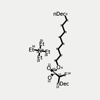 CCCCCCCCCCCCCCCCCCOS(=O)(=O)C(F)CCCCCCCCCC.CC[N+](CC)(CC)CC